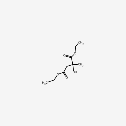 CCOC(=O)CC(C)(O)C(=O)OCC